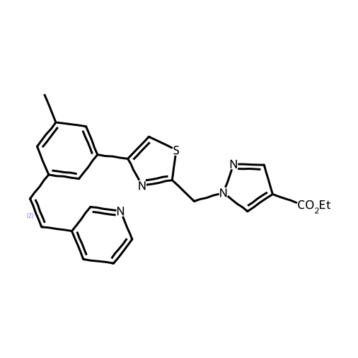 CCOC(=O)c1cnn(Cc2nc(-c3cc(C)cc(/C=C\c4cccnc4)c3)cs2)c1